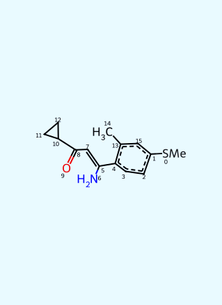 CSc1ccc(C(N)=CC(=O)C2CC2)c(C)c1